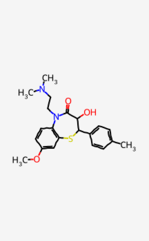 COc1ccc2c(c1)SC(c1ccc(C)cc1)C(O)C(=O)N2CCN(C)C